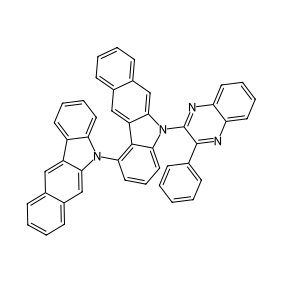 c1ccc(-c2nc3ccccc3nc2-n2c3cc4ccccc4cc3c3c(-n4c5ccccc5c5cc6ccccc6cc54)cccc32)cc1